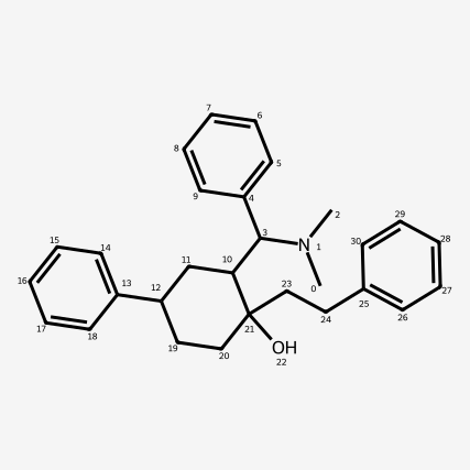 CN(C)C(c1ccccc1)C1CC(c2ccccc2)CCC1(O)CCc1ccccc1